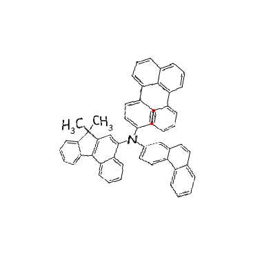 CC1(C)c2ccccc2-c2c1cc(N(c1ccc(-c3cccc4cccc(-c5ccccc5)c34)cc1)c1ccc3c(ccc4ccccc43)c1)c1ccccc21